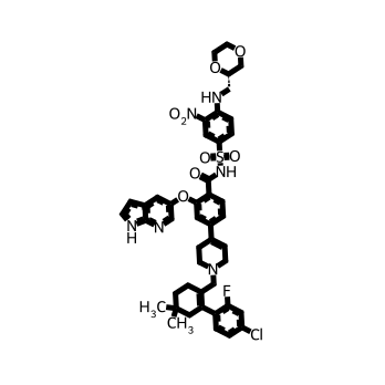 CC1(C)CCC(CN2CC=C(c3ccc(C(=O)NS(=O)(=O)c4ccc(NC[C@H]5COCCO5)c([N+](=O)[O-])c4)c(Oc4cnc5[nH]ccc5c4)c3)CC2)=C(c2ccc(Cl)cc2F)C1